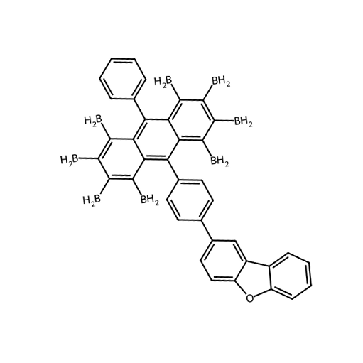 Bc1c(B)c(B)c2c(-c3ccc(-c4ccc5oc6ccccc6c5c4)cc3)c3c(B)c(B)c(B)c(B)c3c(-c3ccccc3)c2c1B